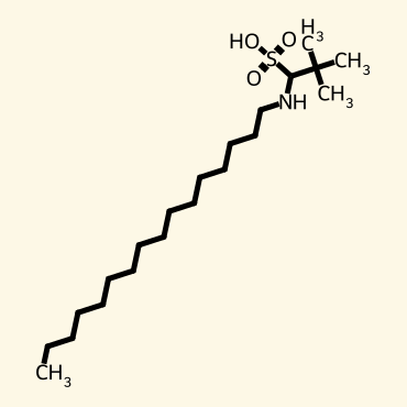 CCCCCCCCCCCCCCCCNC(C(C)(C)C)S(=O)(=O)O